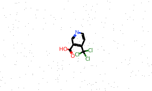 O=C(O)c1cnccc1C(Cl)(Cl)Cl